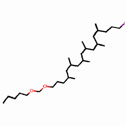 CCCCCOCOCCCC(C)CC(C)CC(C)CC(C)CC(C)CC(C)CCCI